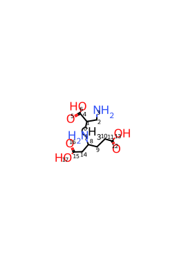 CC(CN)C(=O)O.NC(CCC(=O)O)CC(=O)O